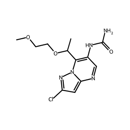 COCCOC(C)c1c(NC(N)=O)cnc2cc(Cl)nn12